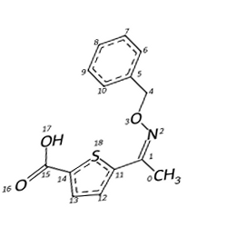 CC(=NOCc1ccccc1)c1ccc(C(=O)O)s1